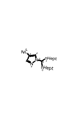 CCCCCCCC(CCCCCCC)n1cc(C#N)cn1